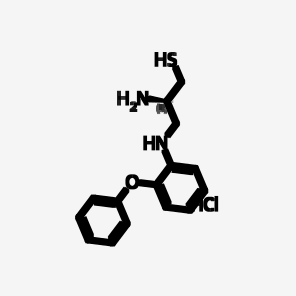 Cl.N[C@@H](CS)CNc1ccccc1Oc1ccccc1